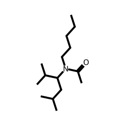 CCCCCN(C(C)=O)C(CC(C)C)C(C)C